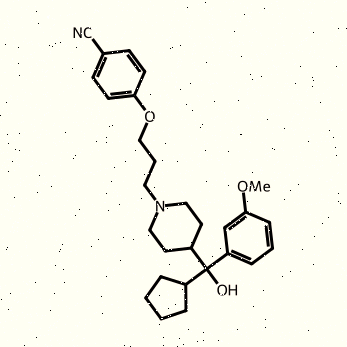 COc1cccc(C(O)(C2CCCC2)C2CCN(CCCOc3ccc(C#N)cc3)CC2)c1